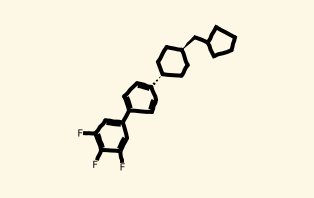 Fc1cc(-c2ccc([C@H]3CC[C@H](CC4CCCC4)CC3)cc2)cc(F)c1F